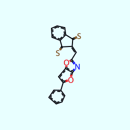 S=C1C(=Cc2nc3oc(-c4ccccc4)cc3o2)C(=S)c2ccccc21